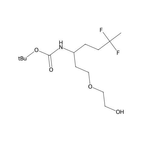 CC(F)(F)CCC(CCOCCO)NC(=O)OC(C)(C)C